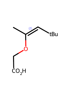 C/C(=C/C(C)(C)C)OCC(=O)O